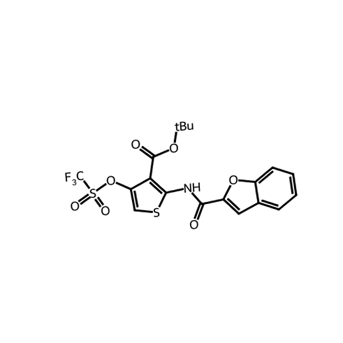 CC(C)(C)OC(=O)c1c(OS(=O)(=O)C(F)(F)F)csc1NC(=O)c1cc2ccccc2o1